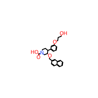 O=C(O)N1CCC(c2cccc(OCCCO)c2)C(OCc2ccc3ccccc3c2)C1